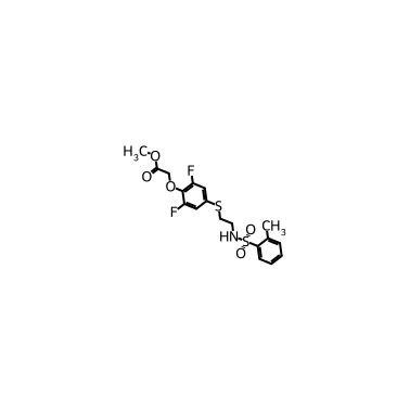 COC(=O)COc1c(F)cc(SCCNS(=O)(=O)c2ccccc2C)cc1F